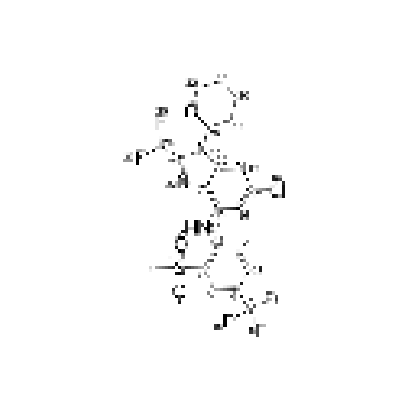 CS(=O)(=O)c1cc(C(F)(F)F)ccc1Nc1cc(Cl)nc2c1nc(C(F)F)n2C1CCCCO1